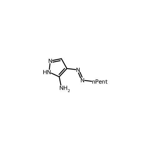 CCCCCN=Nc1cn[nH]c1N